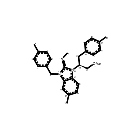 CN=c1n(Cc2ccc(C)cc2)c2cc(C)ccc2n1[C@H](COC)Cc1ccc(C)cc1